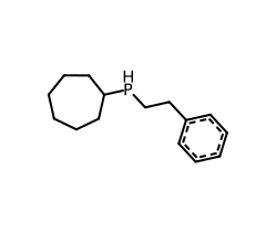 c1ccc(CCPC2CCCCCC2)cc1